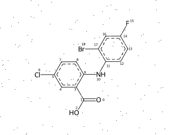 O=C(O)c1cc(Cl)ccc1Nc1ccc(F)cc1Br